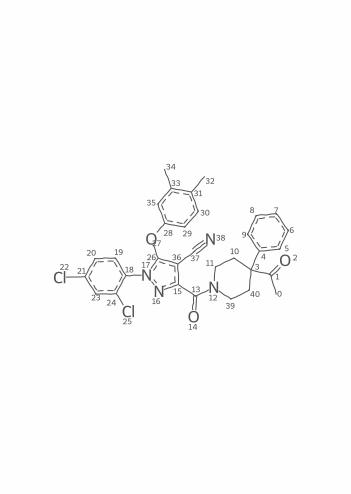 CC(=O)C1(c2ccccc2)CCN(C(=O)c2nn(-c3ccc(Cl)cc3Cl)c(Oc3ccc(C)c(C)c3)c2C#N)CC1